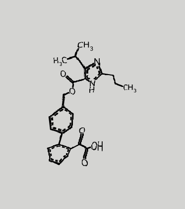 CCCc1nc(C(C)C)c(C(=O)OCc2ccc(-c3ccccc3C(=O)C(=O)O)cc2)[nH]1